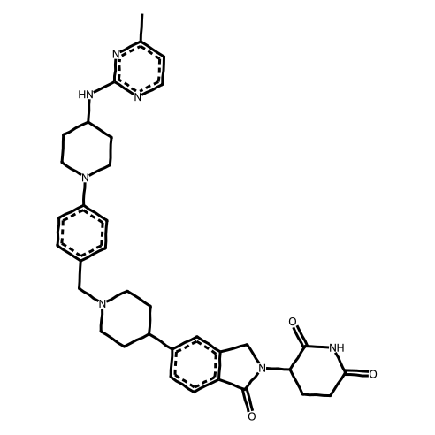 Cc1ccnc(NC2CCN(c3ccc(CN4CCC(c5ccc6c(c5)CN(C5CCC(=O)NC5=O)C6=O)CC4)cc3)CC2)n1